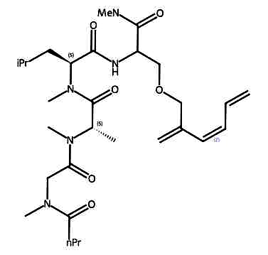 C=C/C=C\C(=C)COCC(NC(=O)[C@H](CC(C)C)N(C)C(=O)[C@H](C)N(C)C(=O)CN(C)C(=O)CCC)C(=O)NC